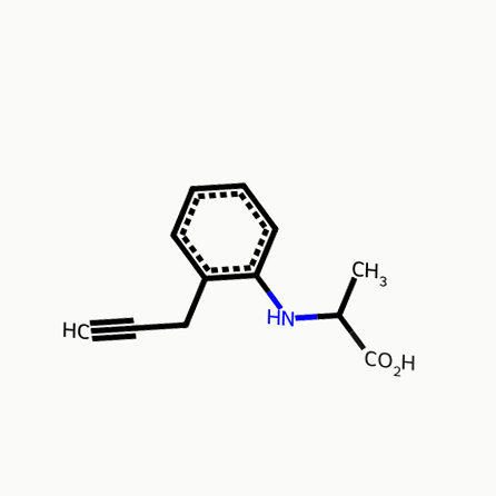 C#CCc1ccccc1NC(C)C(=O)O